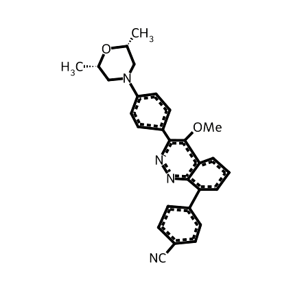 COc1c(-c2ccc(N3C[C@@H](C)O[C@@H](C)C3)cc2)nnc2c(-c3ccc(C#N)cc3)cccc12